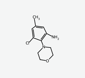 Cc1cc(N)c(N2CCOCC2)c(Cl)c1